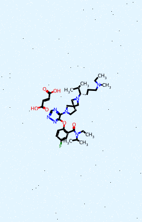 CCN(C)CCC[C@@H](C(C)C)N1CC2(CCN(c3ncnnc3Oc3ccc(F)cc3C(=O)N(CC)C(C)C)C2)C1.O=C(O)/C=C/C(=O)O